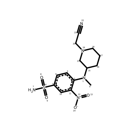 CN(c1ccc(S(N)(=O)=O)cc1[N+](=O)[O-])C1CCCN(CC#N)C1